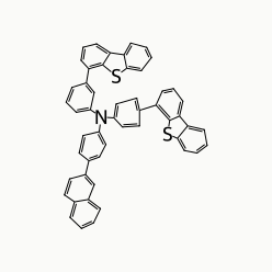 c1cc(-c2cccc3c2sc2ccccc23)cc(N(c2ccc(-c3ccc4ccccc4c3)cc2)c2ccc(-c3cccc4c3sc3ccccc34)cc2)c1